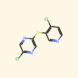 Clc1cnc(Sc2cnccc2Cl)cn1